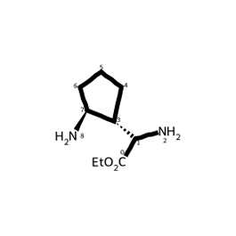 CCOC(=O)C(N)[C@H]1CCC[C@@H]1N